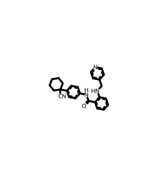 N#CC1(c2ccc(NC(=O)c3ccccc3NCc3ccncc3)cc2)CCCCC1